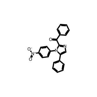 O=C(c1ccccc1)c1ncc(-c2ccccc2)n1-c1ccc([N+](=O)[O-])cc1